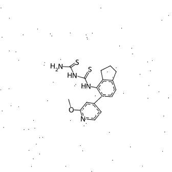 COc1cc(-c2ccc3c(c2NC(=S)NC(N)=S)CCC3)ccn1